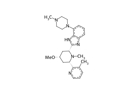 CO[C@@H]1C[C@H](c2nc3cccc(N4CCN(C)CC4)c3[nH]2)N(C)[C@H](c2ncccc2C)C1